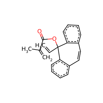 C=CC1(OC(=O)C(=C)C)c2ccccc2C=Cc2ccccc21